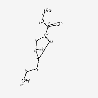 CC(C)(C)OC(=O)N1CC2C(CCO)C2C1